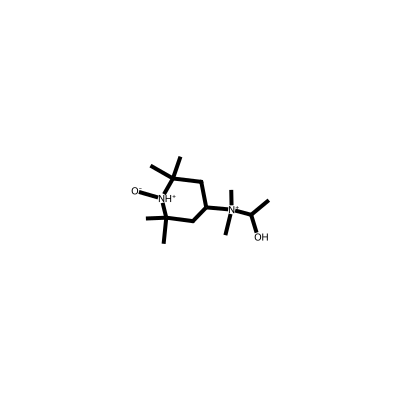 CC(O)[N+](C)(C)C1CC(C)(C)[NH+]([O-])C(C)(C)C1